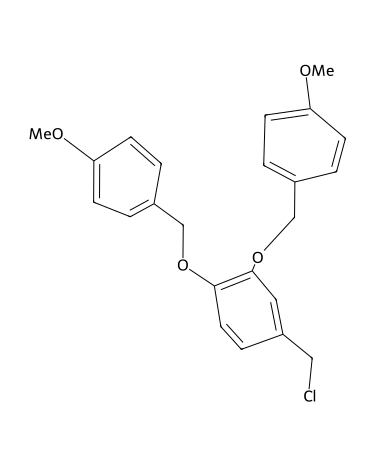 COc1ccc(COc2ccc(CCl)cc2OCc2ccc(OC)cc2)cc1